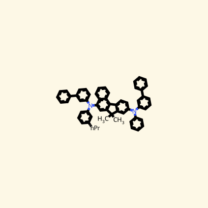 CCCc1cccc(N(c2cccc(-c3ccccc3)c2)c2cc3c(c4ccccc24)-c2ccc(N(c4ccccc4)c4cccc(-c5ccccc5)c4)cc2C3(C)C)c1